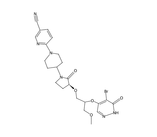 COCC(CO[C@H]1CCN(C2CCN(c3ccc(C#N)cn3)CC2)C1=O)Oc1cn[nH]c(=O)c1Br